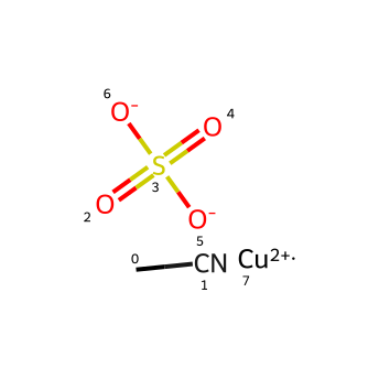 CC#N.O=S(=O)([O-])[O-].[Cu+2]